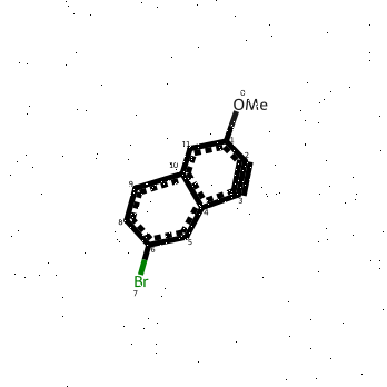 COc1c#cc2cc(Br)ccc2c1